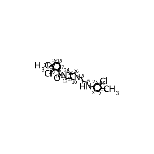 Cc1ccc(NCCCN2CC3CN(C(=O)c4cccc(C)c4Cl)CC3C2)cc1Cl